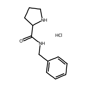 Cl.O=C(NCc1ccccc1)C1CCCN1